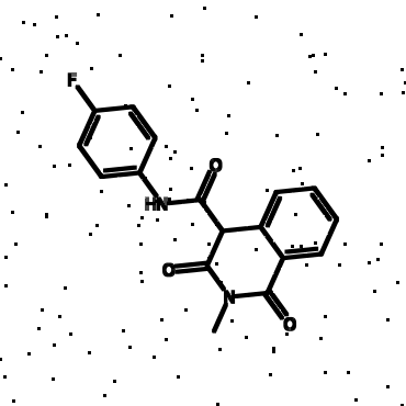 CN1C(=O)c2ccccc2C(C(=O)Nc2ccc(F)cc2)C1=O